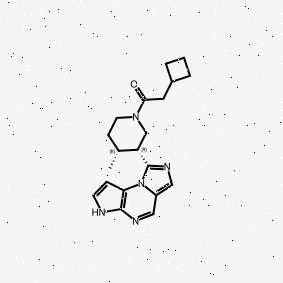 C[C@@H]1CCN(C(=O)CC2CCC2)C[C@@H]1c1ncc2cnc3[nH]ccc3n12